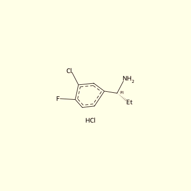 CC[C@@H](N)c1ccc(F)c(Cl)c1.Cl